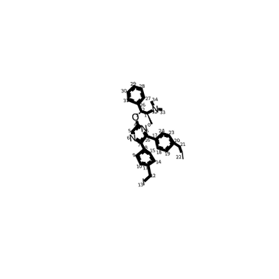 C[C@@H]([C@H](Oc1cnc(-c2ccc(CI)cc2)c(-c2ccc(CI)cc2)n1)c1ccccc1)N(C)C